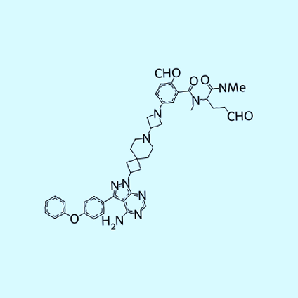 CNC(=O)C(CCC=O)N(C)C(=O)c1cc(N2CC(N3CCC4(CC3)CC(n3nc(-c5ccc(Oc6ccccc6)cc5)c5c(N)ncnc53)C4)C2)ccc1C=O